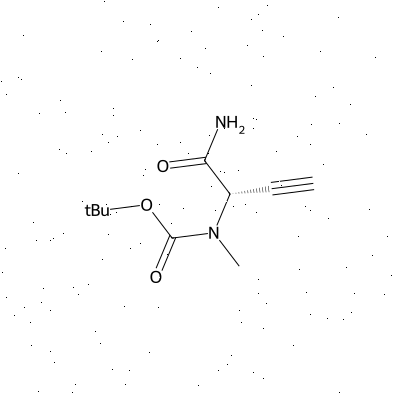 C#C[C@@H](C(N)=O)N(C)C(=O)OC(C)(C)C